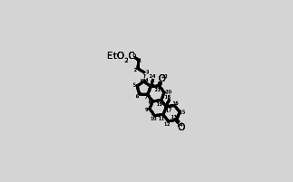 CCOC(=O)CCC[C@H]1CCC2C3CCC4CC(=O)CCC4(C)C3CC(=O)C21C